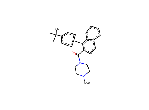 CSN1CCN(C(=O)c2ccc3ccccc3c2-c2ccc(C(C)(C)C#N)cc2)CC1